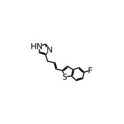 Fc1ccc2sc(C=CCc3c[nH]cn3)cc2c1